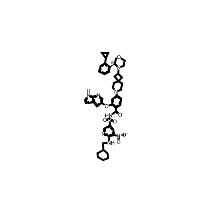 O=C(NS(=O)(=O)c1cnc(NCC2CCCCC2)c([N+](=O)[O-])c1)c1ccc(N2CCC3(CC2)CC(N2CCOC[C@@H]2c2ccccc2C2CC2)C3)cc1Oc1cnc2[nH]ccc2c1